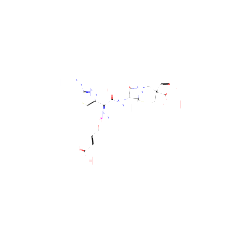 C=CC1(C(=O)O)CS[C@@H]2C(NC(=O)C(=NOCC=CC(=O)O)c3csc(N)n3)C(=O)N2C1